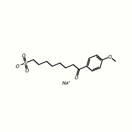 COc1ccc(C(=O)CCCCCCCS(=O)(=O)[O-])cc1.[Na+]